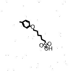 Cc1ccc(OCCCCCCS(=O)(=O)O)cc1